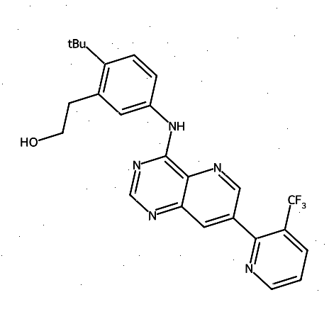 CC(C)(C)c1ccc(Nc2ncnc3cc(-c4ncccc4C(F)(F)F)cnc23)cc1CCO